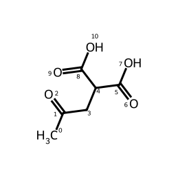 CC(=O)CC(C(=O)O)C(=O)O